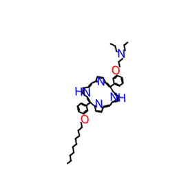 CCCCCCCCCCCOc1cccc(-c2c3nc(cc4ccc([nH]4)c(-c4cccc(OCCCN(CCC)CCC)c4)c4nc(cc5ccc2[nH]5)C=C4)C=C3)c1